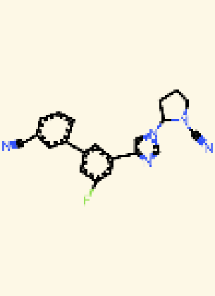 N#Cc1cccc(-c2cc(F)cc(-c3cn(C4CCCN4C#N)cn3)c2)c1